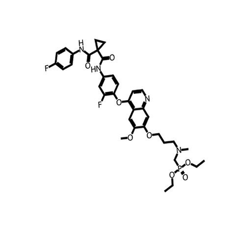 CCOP(=O)(CN(C)CCCOc1cc2nccc(Oc3ccc(NC(=O)C4(C(=O)Nc5ccc(F)cc5)CC4)cc3F)c2cc1OC)OCC